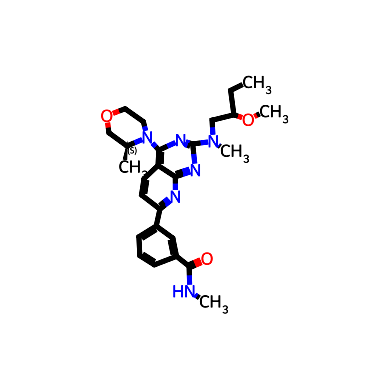 CCC(CN(C)c1nc(N2CCOC[C@@H]2C)c2ccc(-c3cccc(C(=O)NC)c3)nc2n1)OC